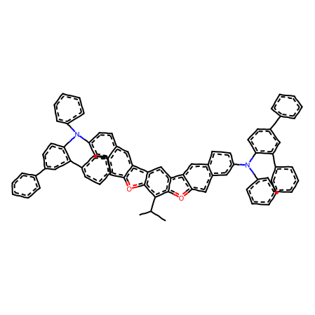 CC(C)c1c2oc3cc4cc(N(c5ccccc5)c5ccc(-c6ccccc6)cc5-c5ccccc5)ccc4cc3c2cc2c1oc1cc3cc(N(c4ccccc4)c4ccc(-c5ccccc5)cc4-c4ccccc4)ccc3cc12